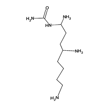 NCCCCC(N)CCC(N)NC(N)=O